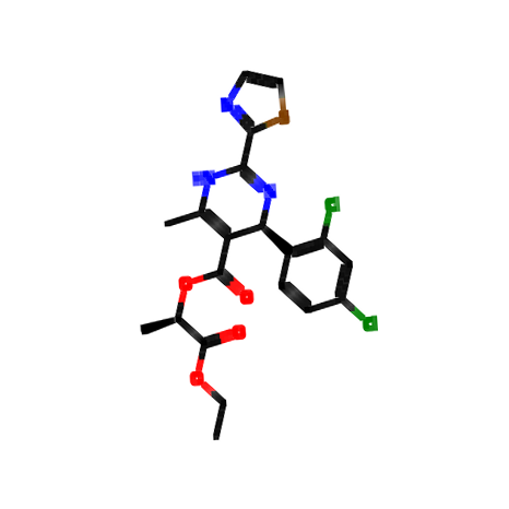 CCOC(=O)[C@@H](C)OC(=O)C1=C(C)NC(c2nccs2)=N[C@H]1c1ccc(Cl)cc1Cl